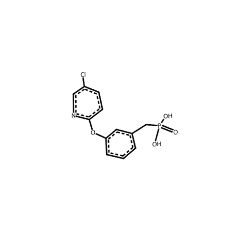 O=P(O)(O)Cc1cccc(Oc2ccc(Cl)cn2)c1